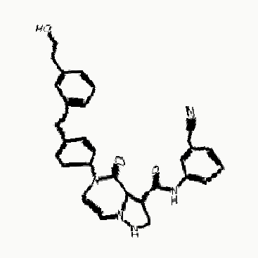 N#Cc1cccc(NC(=O)C2CNN3C=CN(c4ccc(Cc5cccc(CCO)c5)cc4)C(=O)C23)c1